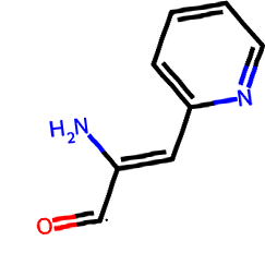 NC([C]=O)=Cc1ccccn1